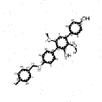 COc1cc(-c2ccc(O)cc2)c(OC)c(O)c1-c1ccc(OCc2ccc(C)cc2)cc1